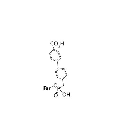 CCC(C)OP(=O)(O)Cc1ccc(-c2ccc(C(=O)O)cc2)cc1